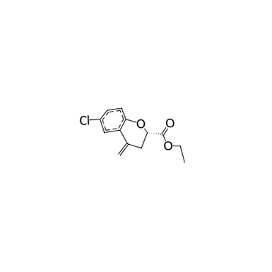 C=C1C[C@@H](C(=O)OCC)Oc2ccc(Cl)cc21